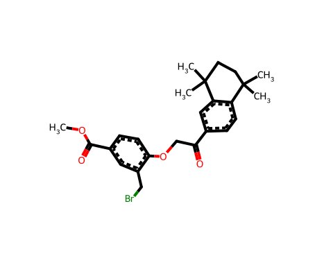 COC(=O)c1ccc(OCC(=O)c2ccc3c(c2)C(C)(C)CCC3(C)C)c(CBr)c1